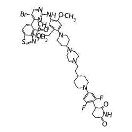 CCc1cc(Nc2ncc(Br)c(-c3ccc4scnc4c3P(C)(C)=O)n2)c(OC)cc1N1CCC(N2CCN(CCC3CCN(c4cc(F)c(C5CCC(=O)NC5=O)c(F)c4)CC3)CC2)CC1